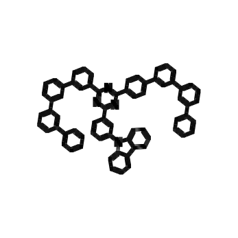 c1ccc(-c2cccc(-c3cccc(-c4ccc(-c5nc(-c6cccc(-c7cccc(-c8cccc(-c9ccccc9)c8)c7)c6)nc(-c6cccc(-n7c8ccccc8c8ccccc87)c6)n5)cc4)c3)c2)cc1